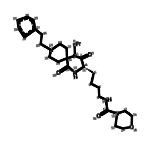 CCCN1C(=O)[C@H](CCCCNC(=O)N2CCOCC2)NC(=O)C12CCN(CCc1ccccc1)CC2